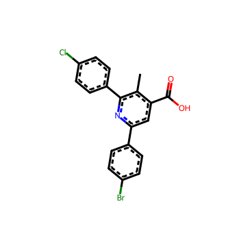 Cc1c(C(=O)O)cc(-c2ccc(Br)cc2)nc1-c1ccc(Cl)cc1